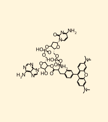 CN(C)c1ccc2c(-c3ccc(CC(N)C(=O)OC4C(O)[C@H](n5cnc6c(N)ncnc65)O[C@@H]4COP(=O)(O)OC4C[C@H](n5ccc(N)nc5=O)O[C@@H]4COP(=O)(O)O)cc3)c3ccc(=[N+](C)C)cc-3oc2c1